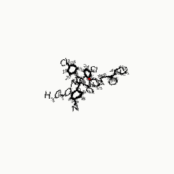 CCOc1cc(C#N)ccc1C1=N[C@@H](c2ccc(Cl)cc2)[C@@H](c2ccc(Cl)cc2)N1C(=O)N1CCN(CC(=O)N2CCOCC2)CC1